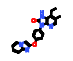 CCc1c(C)cnc2c1[nH]c(=O)n2-c1ccc(Oc2cn3ccccc3n2)cc1